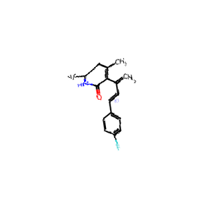 C=C(/C=C/c1ccc(F)cc1)C1=C(C)CC(C)NC1=O